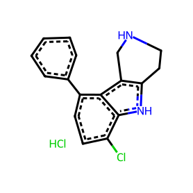 Cl.Clc1ccc(-c2ccccc2)c2c3c([nH]c12)CCNC3